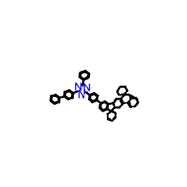 C1=CC2C3C(=C1)C1=C(C=C4c5cc(-c6ccc(-c7nc(-c8ccccc8)nc(-c8ccc(-c9ccccc9)cc8)n7)cc6)ccc5C5(CCCCC5)C4C1)C1(CCCCC1)C23